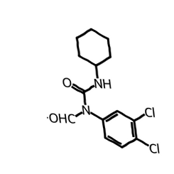 O=[C]N(C(=O)NC1CCCCC1)c1ccc(Cl)c(Cl)c1